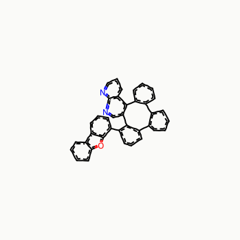 c1ccc2c(c1)-c1ccccc1-c1c(cnc3ncccc13)-c1c-2cccc1-c1cccc2c1oc1ccccc12